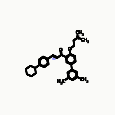 Cc1cc(C)cc(-c2ccc(OCCN(C)C)c(C(=O)/C=C/c3ccc(C4CCCCC4)cc3)c2)c1